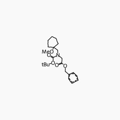 COC1(CN(CC(=O)OCc2ccccc2)C(=O)OC(C)(C)C)CCCCC1